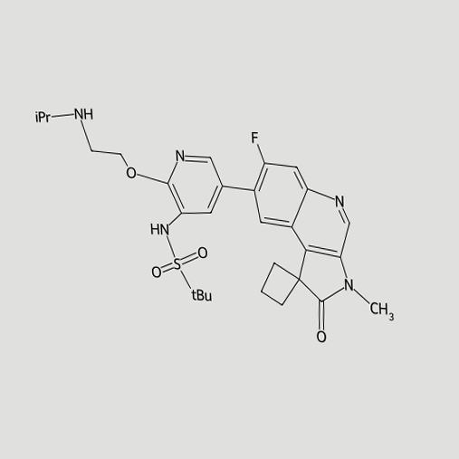 CC(C)NCCOc1ncc(-c2cc3c4c(cnc3cc2F)N(C)C(=O)C42CCC2)cc1NS(=O)(=O)C(C)(C)C